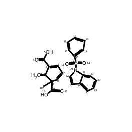 CC1C(C(=O)O)=CC=CC1(I)C(=O)O.O=S(=O)(c1ccccc1)n1ccc2ccccc21